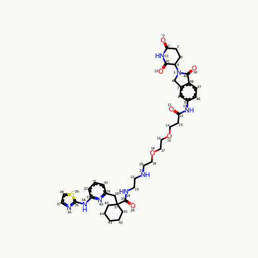 O=C1CCC(N2Cc3cc(NC(=O)CCOCCOCCNCCNC(=O)C4(Cc5cccc(Nc6nccs6)n5)CCCCC4)ccc3C2=O)C(=O)N1